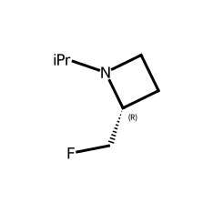 CC(C)N1CC[C@@H]1CF